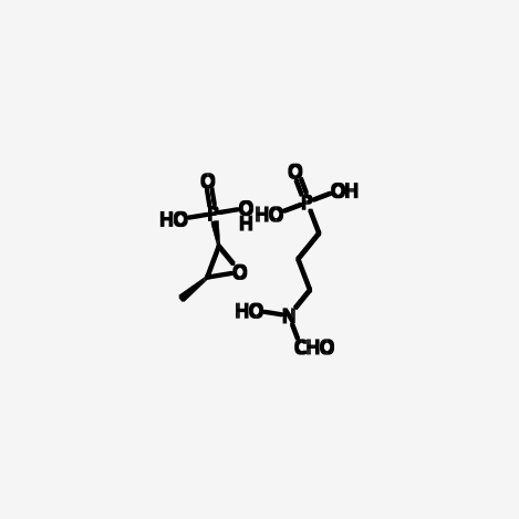 C[C@@H]1O[C@@H]1P(=O)(O)O.O=CN(O)CCCP(=O)(O)O